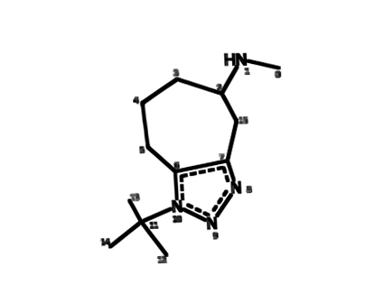 CNC1CCCc2c(nnn2C(C)(C)C)C1